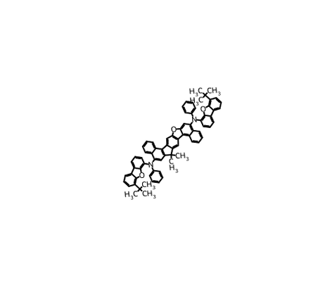 CC(C)(C)c1cccc2c1oc1c(N(c3ccccc3)c3cc4c(c5ccccc35)-c3cc5oc6cc(N(c7ccccc7)c7cccc8c7oc7c(C(C)(C)C)cccc78)c7ccccc7c6c5cc3C4(C)C)cccc12